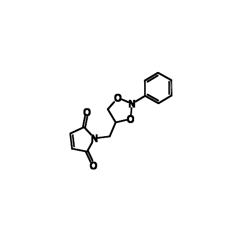 O=C1C=CC(=O)N1CC1CON(c2ccccc2)O1